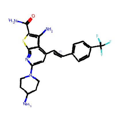 NC(=O)c1sc2nc(N3CCC(N)CC3)cc(/C=C/c3ccc(C(F)(F)F)cc3)c2c1N